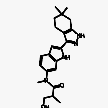 CC(CO)C(=O)N(C)c1ccc2cc(-c3n[nH]c4c3CCC(C)(C)C4)[nH]c2c1